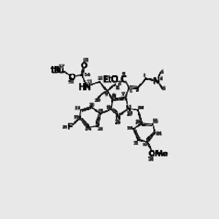 CCOC(=O)/C(=C\CN(C)C)c1c(C(C)(C)CNC(=O)OC(C)(C)C)c(-c2ccc(F)cc2)nn1Cc1ccc(OC)cc1